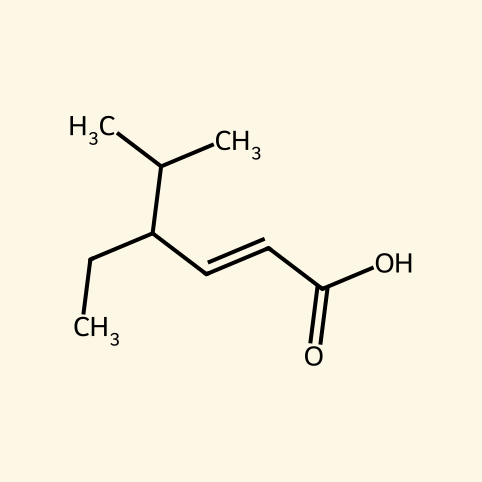 CCC(C=CC(=O)O)C(C)C